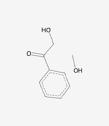 CO.O=C(CO)c1ccccc1